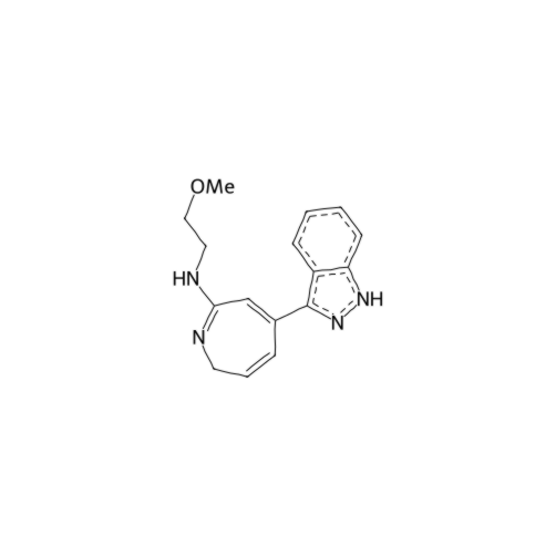 COCCNC1=NCC=CC(c2n[nH]c3ccccc23)=C1